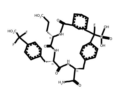 NC(=O)[C@H](Cc1ccc(C(F)(F)P(=O)(O)O)cc1)NC(=O)[C@H](Cc1ccc(C(F)(F)C(=O)O)cc1)NC(=O)[C@H](CCC(=O)O)NC(=O)c1ccccc1